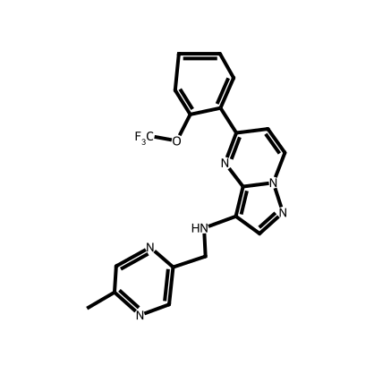 Cc1cnc(CNc2cnn3ccc(-c4ccccc4OC(F)(F)F)nc23)cn1